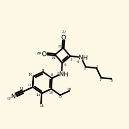 CCCCNc1c(Nc2ccc(C#N)c(C)c2CC)c(=O)c1=O